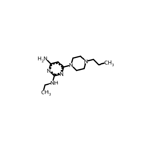 CCCN1CCN(c2cc(N)nc(NCC)n2)CC1